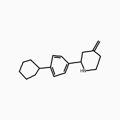 C=C1CCNC(c2ccc(C3CCCCC3)cc2)C1